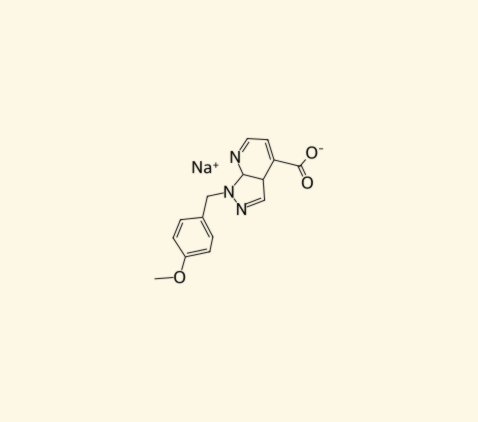 COc1ccc(CN2N=CC3C(C(=O)[O-])=CC=NC32)cc1.[Na+]